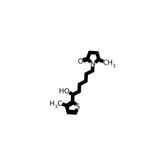 Cc1ccsc1C(O)CCCCCN1C(=O)CCC1C